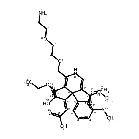 CCOC(=O)C1=C(COCCOCCN)NC=C(C(=O)OC)C1(/C(=C/C(=O)O)C(=O)O)c1cccc(SC)c1OC